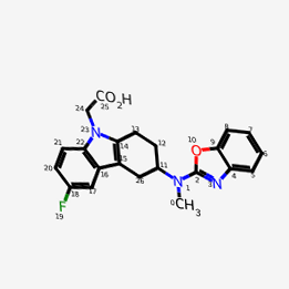 CN(c1nc2ccccc2o1)C1CCc2c(c3cc(F)ccc3n2CC(=O)O)C1